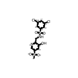 CS(=O)(=O)c1cnc(CNS(=O)(=O)c2cc(Cl)cc(Cl)c2)c(O)c1